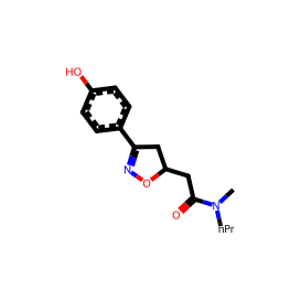 CCCN(C)C(=O)CC1CC(c2ccc(O)cc2)=NO1